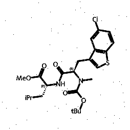 COC(=O)[C@@H](CC(C)C)NC(=O)[C@@H](Cc1csc2ccc(Cl)cc12)N(C)C(=O)OC(C)(C)C